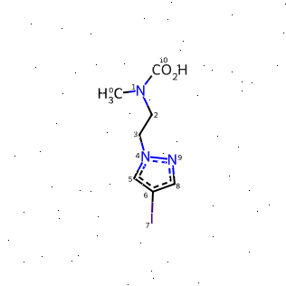 CN(CCn1cc(I)cn1)C(=O)O